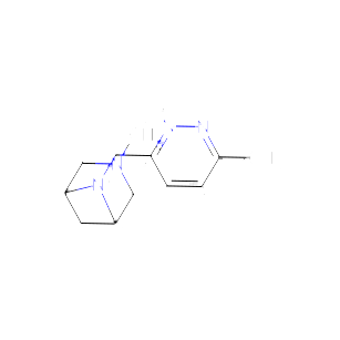 Cc1ccc(CN2C3CC2CN(C)C3)nn1